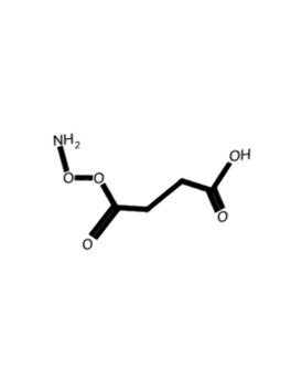 NOOC(=O)CCC(=O)O